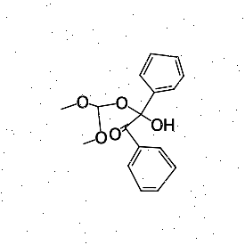 COC(OC)OC(O)(C(=O)c1ccccc1)c1ccccc1